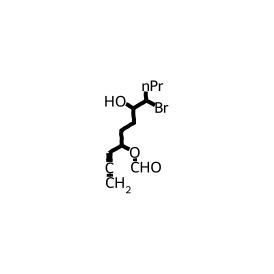 C=C=CC(CCC(O)C(Br)CCC)OC=O